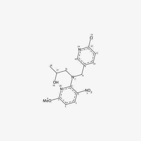 COc1ccc([N+](=O)[O-])c(N(Cc2ccc(Cl)nc2)CC(C)O)n1